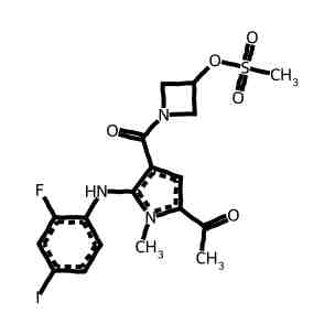 CC(=O)c1cc(C(=O)N2CC(OS(C)(=O)=O)C2)c(Nc2ccc(I)cc2F)n1C